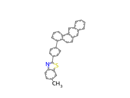 Cc1ccc2nc(-c3ccc(-c4cccc5c4ccc4cc6ccccc6cc45)cc3)sc2c1